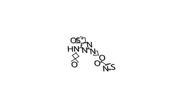 O=C(OC1CN(c2nc3c(c(NC4CC5(COC5)C4)n2)[S@+]([O-])CC3)C1)c1cscn1